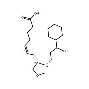 O=C(O)CCC/C=C\C[C@H]1COC[C@H]1CCC(O)C1CCCCC1